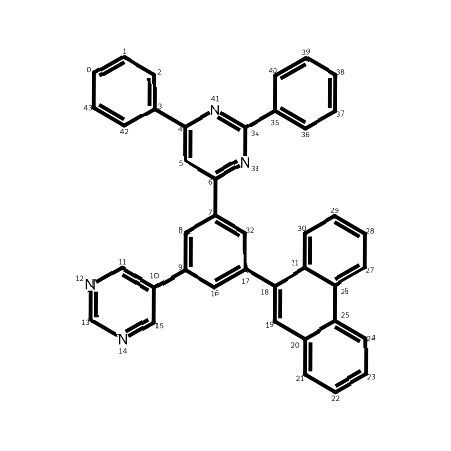 c1ccc(-c2cc(-c3cc(-c4cncnc4)cc(-c4cc5ccccc5c5ccccc45)c3)nc(-c3ccccc3)n2)cc1